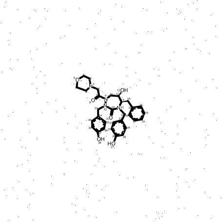 O=C(CN1CCOCC1)N1C[C@@H](O)[C@@H](Cc2ccccc2)N(Cc2ccc(O)cc2)C(=O)N1Cc1ccc(O)cc1